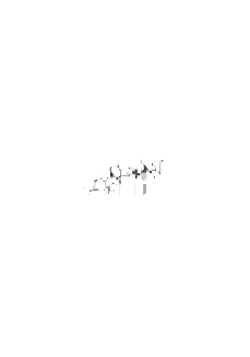 CC(=NNC(=S)NN1CCCC1)c1cccc(-c2ccc(Cl)cc2Cl)n1